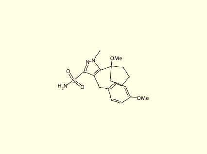 COc1ccc(Cc2c(S(N)(=O)=O)nn(C)c2C2(OC)CCCC2)cc1